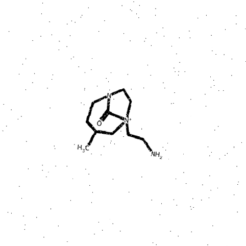 CC1CCN2CC[N+](CCN)(C1)C2=O